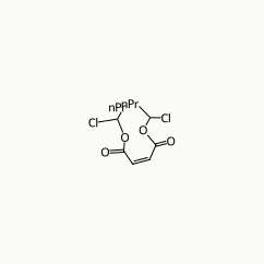 CCCC(Cl)OC(=O)/C=C\C(=O)OC(Cl)CCC